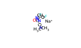 Cc1nn2c([O-])cc(-c3ccc(N(C)C)cc3)nc2c1-c1ccc(F)cc1F.[Na+]